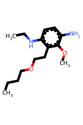 CCCCOCCc1c(NCC)ccc(N)c1OC